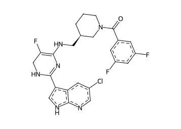 O=C(c1cc(F)cc(F)c1)N1CCC[C@H](CNC2=C(F)CNC(c3c[nH]c4ncc(Cl)cc34)=N2)C1